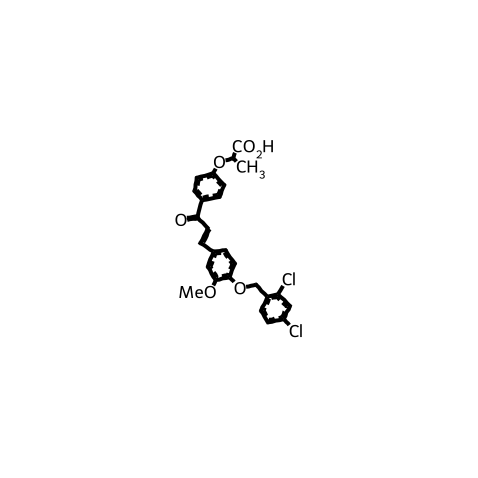 COc1cc(C=CC(=O)c2ccc(OC(C)C(=O)O)cc2)ccc1OCc1ccc(Cl)cc1Cl